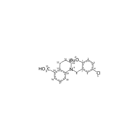 CC(C)COc1ccc(Cl)cc1CN1CCCc2c(C(=O)O)cccc21